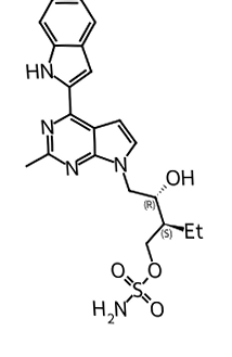 CC[C@@H](COS(N)(=O)=O)[C@@H](O)Cn1ccc2c(-c3cc4ccccc4[nH]3)nc(C)nc21